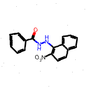 O=C(NNc1c([N+](=O)[O-])ccc2ccccc12)c1ccccc1